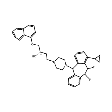 O[C@@H](CCN1CCN(C2c3ccccc3C(F)C(F)c3c(C4CC4)cccc32)CC1)COc1cccc2ccccc12